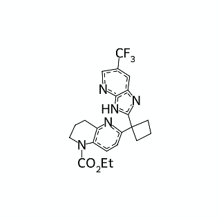 CCOC(=O)N1CCCc2nc(C3(c4nc5cc(C(F)(F)F)cnc5[nH]4)CCC3)ccc21